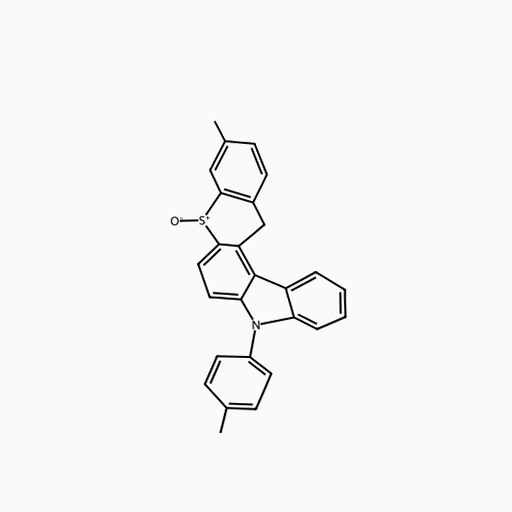 Cc1ccc(-n2c3ccccc3c3c4c(ccc32)[S+]([O-])c2cc(C)ccc2C4)cc1